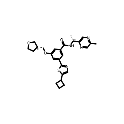 Cc1cnc([C@@H](C)NC(=O)c2cc(OC[C@@H]3CCOC3)cc(-c3ncc(C4CCC4)s3)c2)cn1